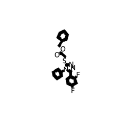 O=C(CSc1nnc(-c2ccc(F)cc2F)n1-c1ccccc1)OCc1ccccc1